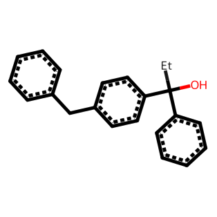 CCC(O)(c1ccccc1)c1ccc(Cc2ccccc2)cc1